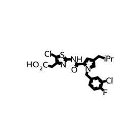 CC(C)Cc1cc(C(=O)Nc2nc(CC(=O)O)c(Cl)s2)n(Cc2ccc(F)c(Cl)c2)c1